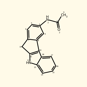 CC(=O)Nc1ccc2c(c1)-c1c([nH]c3ccccc13)C2